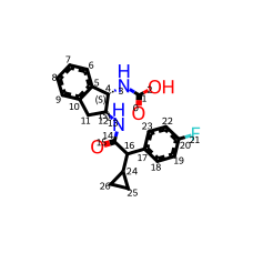 O=C(O)N[C@H]1c2ccccc2C[C@@H]1NC(=O)C(c1ccc(F)cc1)C1CC1